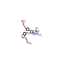 COCCCN1CCOc2ccc(CO[C@H]3CN[C@@H](CC(C)(C)C(=O)N(C)C)C[C@@H]3c3ccc(COCCOC)cc3)cc21